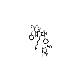 COC(=O)[C@@H](Cc1ccccc1)NC(=O)c1nnn(-c2ccc(C(=O)NCC(F)(F)F)cc2)c1CCCCCF